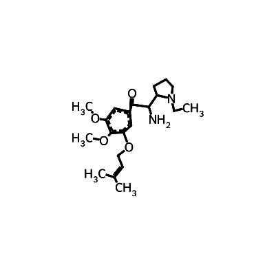 CCN1CCCC1C(N)C(=O)c1cc(OC)c(OC)c(OCC=C(C)C)c1